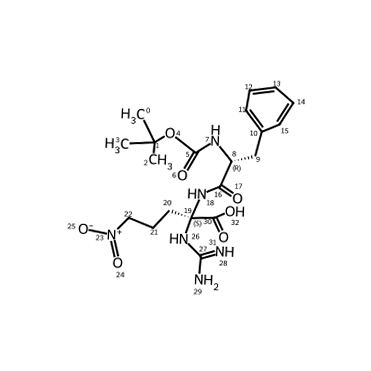 CC(C)(C)OC(=O)N[C@H](Cc1ccccc1)C(=O)N[C@](CCC[N+](=O)[O-])(NC(=N)N)C(=O)O